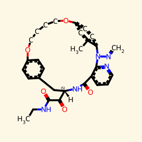 C=NN1c2ccc(cc2C)OCCCCOc2ccc(cc2)C[C@@H](C(=O)C(=O)NCC)NC(=O)c2cccnc21